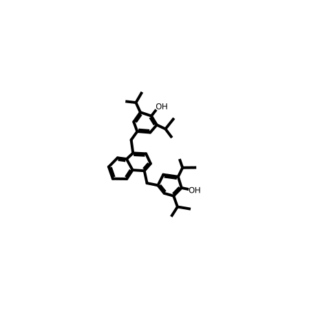 CC(C)c1cc(Cc2ccc(Cc3cc(C(C)C)c(O)c(C(C)C)c3)c3ccccc23)cc(C(C)C)c1O